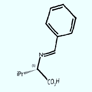 CC(C)[C@H](N=Cc1ccccc1)C(=O)O